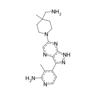 Cc1c(-c2n[nH]c3nc(N4CCC(C)(CN)CC4)cnc23)ccnc1N